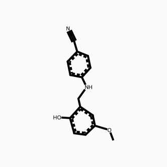 COc1ccc(O)c(CNc2ccc(C#N)cc2)c1